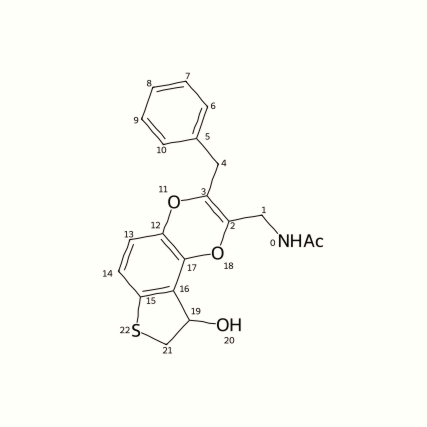 CC(=O)NCC1=C(Cc2ccccc2)Oc2ccc3c(c2O1)C(O)CS3